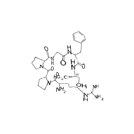 N=C(N)NCCCC(N)C(=O)N1CCCC1C(=O)N1CCCC1C(=O)NCC(=O)NC(Cc1ccccc1)C(=O)N[C@@H](CO)C(=O)O